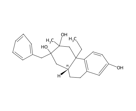 CCC12CC(C)(O)C(O)(Cc3ccccc3)C[C@H]1CCc1cc(O)ccc12